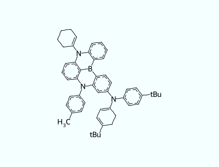 Cc1ccc(N2c3cc(N(C4=CC=C(C(C)(C)C)CC4)c4ccc(C(C)(C)C)cc4)ccc3B3c4ccccc4N(C4=CCCCC4)c4cccc2c43)cc1